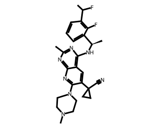 Cc1nc(N[C@H](C)c2cccc(C(C)F)c2F)c2cc(C3(C#N)CC3)c(N3CCN(C)CC3)nc2n1